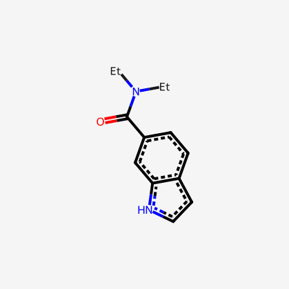 CCN(CC)C(=O)c1ccc2cc[nH]c2c1